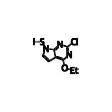 CCOc1nc(Cl)nc2c1ccn2SI